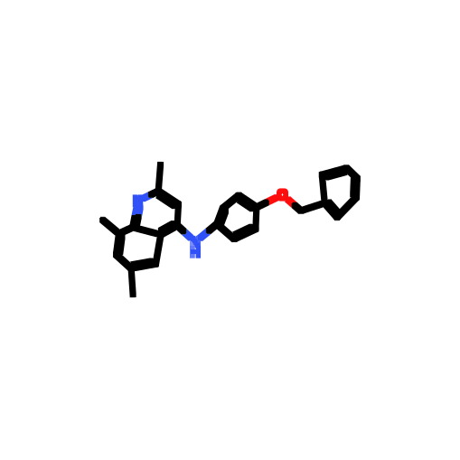 Cc1cc(C)c2nc(C)cc(Nc3ccc(OCc4ccccc4)cc3)c2c1